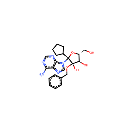 Nc1ncnc2c1ncn2[C@]1(C2CCCC2)O[C@H](CO)[C@@H](O)[C@]1(O)OCc1ccccc1